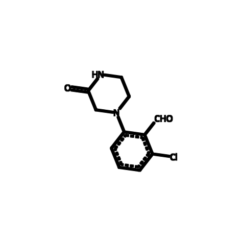 O=Cc1c(Cl)cccc1N1CCNC(=O)C1